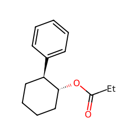 CCC(=O)O[C@@H]1CCCC[C@H]1c1ccccc1